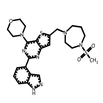 CS(=O)(=O)N1CCCN(Cc2cc3nc(-c4cccc5[nH]ncc45)nc(N4CCOCC4)c3s2)CC1